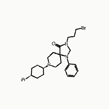 CC(C)[C@H]1CC[C@@H](N2CCC3(CC2)C(=O)N(CCCBr)CN3c2ccccc2)CC1